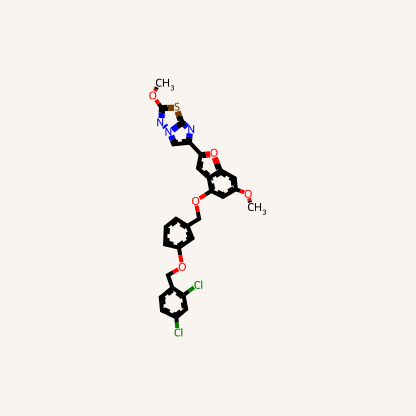 COc1cc(OCc2cccc(OCc3ccc(Cl)cc3Cl)c2)c2cc(-c3cn4nc(OC)sc4n3)oc2c1